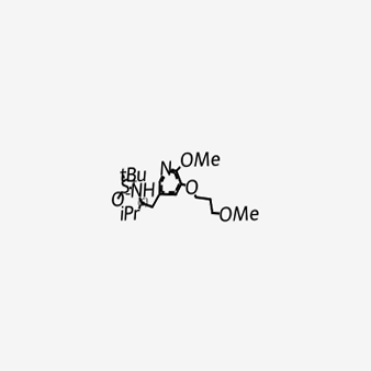 COCCCOc1cc(C[C@H](N[S+]([O-])C(C)(C)C)C(C)C)cnc1OC